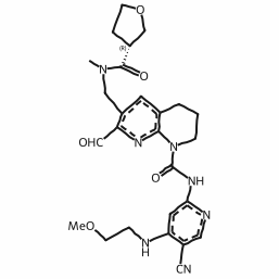 COCCNc1cc(NC(=O)N2CCCc3cc(CN(C)C(=O)[C@@H]4CCOC4)c(C=O)nc32)ncc1C#N